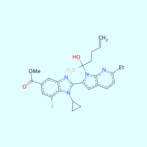 BC(O)(CCC=C)n1c(-c2nc3cc(C(=O)OC)cc(F)c3n2C2CC2)cc2ccc(CC)nc21